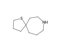 C1CNCCC2(C1)CCCS2